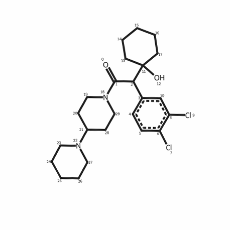 O=C(C(c1ccc(Cl)c(Cl)c1)C1(O)CCCCC1)N1CCC(N2CCCCC2)CC1